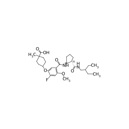 CCC(CC)CNC(=O)[C@H]1CCC[C@H]1NC(=O)c1cc(OC2CCC(C)(C(=O)O)CC2)c(F)cc1OC